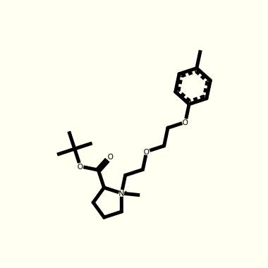 Cc1ccc(OCCOCC[N+]2(C)CCCC2C(=O)OC(C)(C)C)cc1